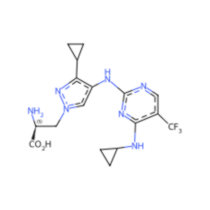 N[C@@H](Cn1cc(Nc2ncc(C(F)(F)F)c(NC3CC3)n2)c(C2CC2)n1)C(=O)O